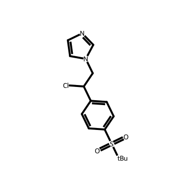 CC(C)(C)S(=O)(=O)c1ccc(C(Cl)Cn2ccnc2)cc1